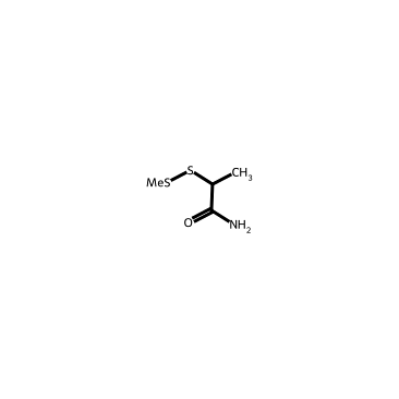 CSSC(C)C(N)=O